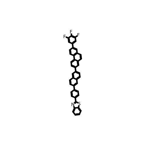 Fc1cc(-c2ccc3c(ccc4cc(-c5ccc6cc(-c7ccc(-c8nc9ccccc9s8)cc7)ccc6c5)ccc43)c2)cc(F)c1F